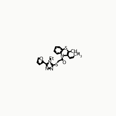 C/C=C\C1=C(C)Sc2ccccc2N1C(=O)CSc1nnc(-c2ccco2)n1CC